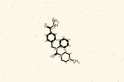 CN1CCN(C(=O)N(Cc2ccc(C(=O)NN)cc2)c2ccccc2)CC1